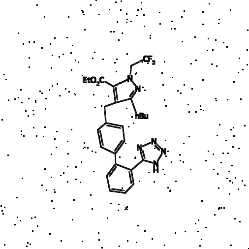 CCCCc1nn(CC(F)(F)F)c(C(=O)OCC)c1Cc1ccc(-c2ccccc2-c2nnn[nH]2)cc1